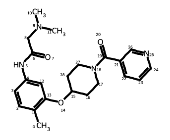 Cc1ccc(NC(=O)CN(C)C)cc1OC1CCN(C(=O)c2cccnc2)CC1